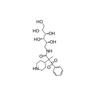 CC(C(=O)NC[C@H](O)[C@@H](O)[C@H](O)[C@H](O)CO)(C1CCNCC1)S(=O)(=O)c1ccccc1